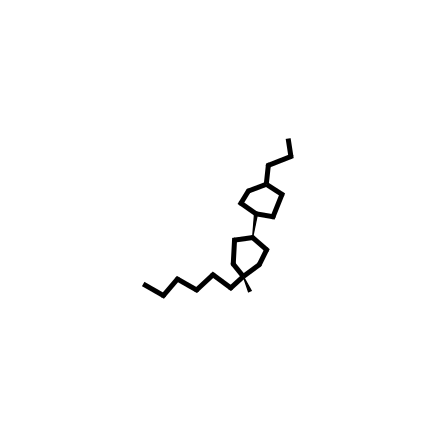 CCCCCC[C@]1(C)CC[C@@H](C2CCC(CCC)CC2)CC1